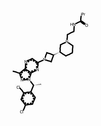 Cc1nn([C@H](C)c2ccc(Cl)cc2Cl)c2nc(N3CC([C@H]4CCCN(CCNC(=O)C(C)C)C4)C3)cnc12